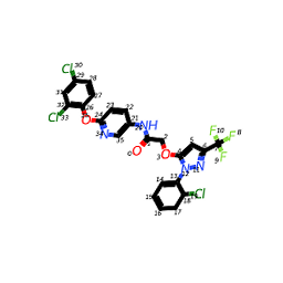 O=C(COc1cc(C(F)(F)F)nn1C1=CC=CCC1Cl)Nc1ccc(Oc2ccc(Cl)cc2Cl)nc1